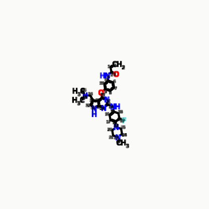 C=CC(=O)Nc1cccc(Oc2nc(NC3=CC=C(N4CCN(C)CC4)C(F)C3)nc3[nH]cc(CN(C)C)c23)c1